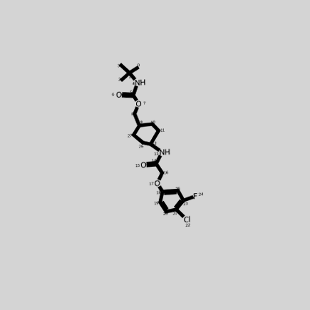 CC(C)(C)NC(=O)OCC1CCC(NC(=O)COc2ccc(Cl)c(F)c2)CC1